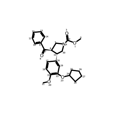 COC(=O)N1C[C@H](C(=O)c2ccccc2)[C@@H](c2ccc(OC)c(OC3CCCC3)c2)C1